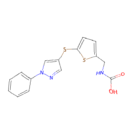 O=C(O)NCc1ccc(Sc2cnn(-c3ccccc3)c2)s1